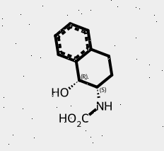 O=C(O)N[C@H]1CCc2ccccc2[C@H]1O